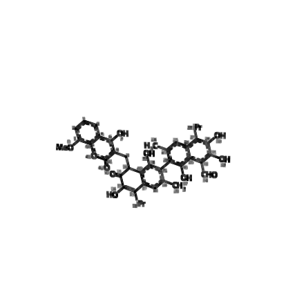 COc1cccc2c(O)c(CC3C(=O)C(O)=C(C(C)C)c4cc(C)c(-c5c(C)cc6c(C(C)C)c(O)c(O)c(C=O)c6c5O)c(O)c43)c(=O)oc12